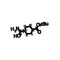 CC(C)(C)OC(=O)C1CCN(C(N)O)CC1